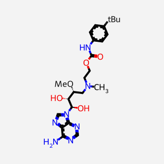 CO[C@H](CN(C)CCOC(=O)Nc1ccc(C(C)(C)C)cc1)[C@@H](O)[C@@H](O)n1cnc2c(N)ncnc21